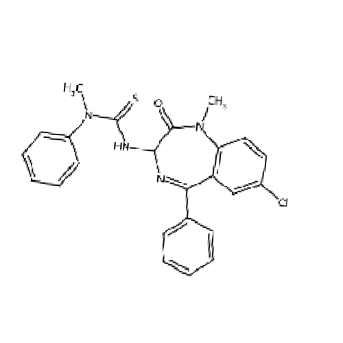 CN(C(=S)NC1N=C(c2ccccc2)c2cc(Cl)ccc2N(C)C1=O)c1ccccc1